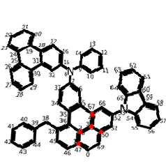 c1ccc(Cc2cc(N(c3ccccc3)c3ccc4c5ccccc5c5ccccc5c4c3)ccc2-c2c(Cc3ccccc3)cccc2-c2ccc(-n3c4ccccc4c4ccccc43)cc2)cc1